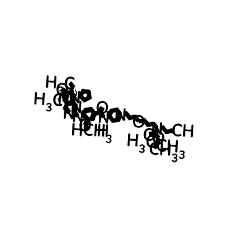 C#CCCN(CCCOCCCN1CCC(NC(=O)c2ccc(Nc3ncc4c(n3)N(C3CCCC3)[C@H](CC)C(=O)N4C)c(OC)c2)CC1)C(=O)OC(C)(C)C